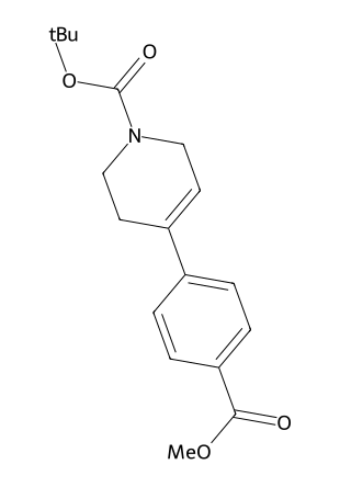 COC(=O)c1ccc(C2=CCN(C(=O)OC(C)(C)C)CC2)cc1